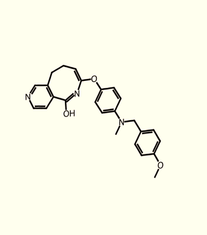 COc1ccc(CN(C)c2ccc(OC3=C/CCc4cnccc4/C(O)=N\3)cc2)cc1